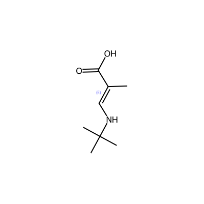 C/C(=C\NC(C)(C)C)C(=O)O